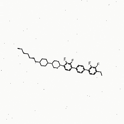 CCCCCCCC1CCC(C2CCC(c3ccc(-c4ccc(-c5ccc(CC)c(F)c5F)cc4)c(F)c3F)CC2)CC1